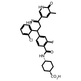 Cc1cc(/C(CC(c2ccc(C(=O)N[C@H]3CC[C@H](C(=O)O)CC3)c(F)c2)c2ccccc2Cl)=N/O)c[nH]c1=O